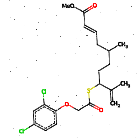 C=C(C)C(CCC(C)C/C=C/C(=O)OC)SC(=O)COc1ccc(Cl)cc1Cl